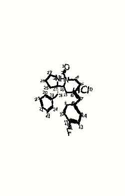 Cl.O=CN1CCC(=Cc2ccc(F)cc2)CC1[C@@]1(Cc2ccccc2)CCCN1